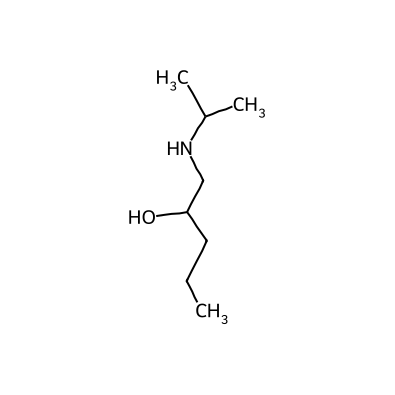 CCCC(O)CNC(C)C